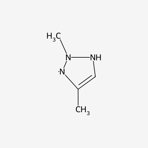 CC1=CNN(C)[N]1